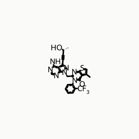 Cc1csc2nc(Cn3nc(C#C[C@@H](C)O)c4c(N)ncnc43)n(-c3ccccc3C(F)(F)F)c(=O)c12